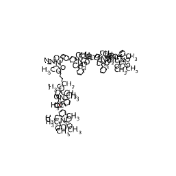 C=CCCCOC(=O)C(CC)N(Cc1ccco1)C(=O)n1ccnc1.COC(=O)C(C)N(C(=O)Cc1ccccc1)c1c(C)cccc1C.COC(=O)C(C)N(C(=O)c1ccco1)c1c(C)cccc1C.COC(=O)[C@@H](C)N(C(=O)Cc1ccccc1)c1c(C)cccc1C.COCC(=O)N(c1c(C)cccc1C)C(C)C(=O)OC.COCC(=O)N(c1c(C)cccc1C)[C@H](C)C(=O)OC